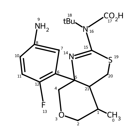 CC1COCC2(c3cc(N)ccc3F)N=C(N(C(=O)O)C(C)(C)C)SCC12